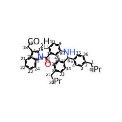 CC(C)Cc1ccc(C(Nc2cccc(C(=O)n3cc(CC(=O)O)c4ccccc43)c2)c2ccc(CC(C)C)cc2)cc1